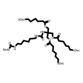 CCCCCCCCCCCCCCCC(=O)OCC(COC(=O)CCCCCCCCCCCCCCC)(COC(=O)CCCCCCCCCCCCCCC)NC(=O)NCCCCCCNC(=O)NC